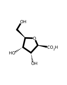 O=C(O)[C@@H]1O[C@H](CO)[C@@H](O)[C@H]1O